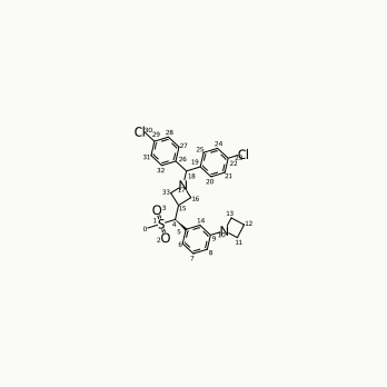 CS(=O)(=O)[C@H](c1cccc(N2CCC2)c1)C1CN(C(c2ccc(Cl)cc2)c2ccc(Cl)cc2)C1